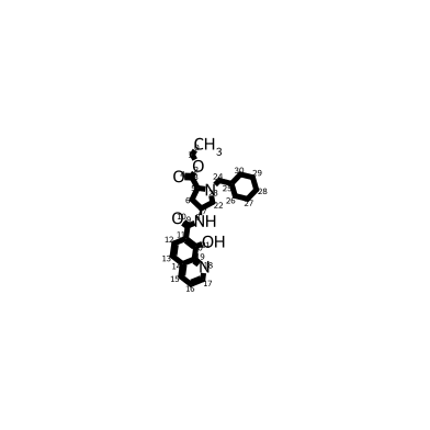 CCOC(=O)C1C[C@H](NC(=O)c2ccc3cccnc3c2O)CN1CC1CCCCC1